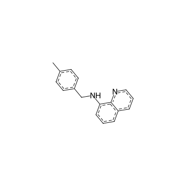 Cc1ccc(CNc2cccc3cccnc23)cc1